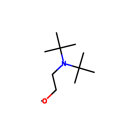 CC(C)(C)N(CC[O])C(C)(C)C